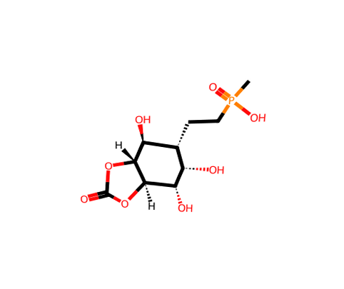 CP(=O)(O)CC[C@@H]1[C@H](O)[C@H](O)[C@H]2OC(=O)O[C@@H]2[C@H]1O